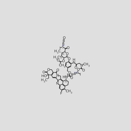 B/B=S(\I)OC(=O)N(C)CC(=O)Nc1cc(COC(=O)N[C@H]2CCc3c(C)c(F)cc4nc5c(c2c34)Cn2c-5cc3c(c2=O)COC(=O)[C@]3(O)CC)ccc1O[C@@H]1OC(C(=O)/S(I)=B/B=O)[C@@H](C)[C@H](C)C1OC(C)=O